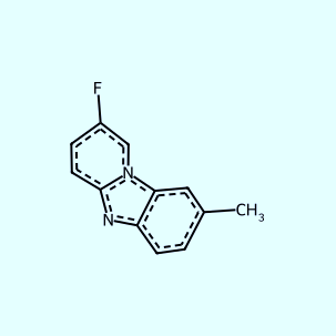 Cc1ccc2nc3ccc(F)cn3c2c1